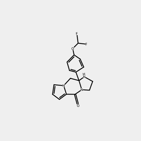 O=C1c2cccn2CC2(c3ccc(OC(F)F)cc3)NCCN12